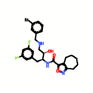 CCc1cccc(CNC[C@H](O)[C@H](Cc2cc(F)cc(F)c2)NC(=O)c2onc3c2CCCCC3)c1